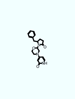 O=C1CCC(Cc2ccccc2)N1C1CN(c2cc[nH]c(=O)c2)CCO1